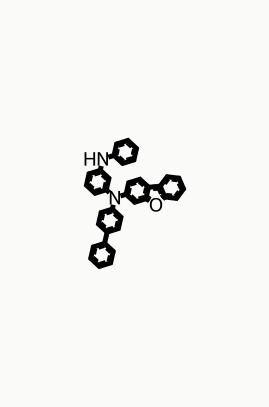 c1ccc(Nc2cccc(N(c3ccc(-c4ccccc4)cc3)c3ccc4c(c3)oc3ccccc34)c2)cc1